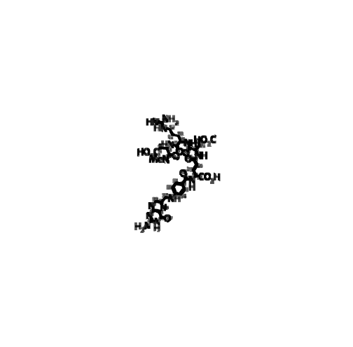 CNC(=O)C(CC(=O)O)NC(=O)C(CCCNC(=N)N)NC(=O)C(CC(=O)O)NC(=O)CCC(NC(=O)c1ccc(NCc2cnc3nc(N)[nH]c(=O)c3n2)cc1)C(=O)O